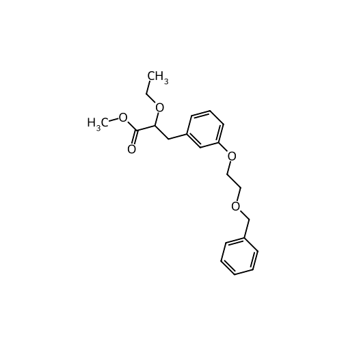 CCOC(Cc1cccc(OCCOCc2ccccc2)c1)C(=O)OC